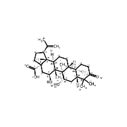 C=C(C)[C@@H]1CC[C@]2(C(=O)O)C[C@H](O)[C@]3(C)[C@H](CC[C@@H]4[C@@]5(C)CCC(=O)C(C)(C)[C@@H]5C[C@H](O)[C@]43C)[C@@H]12